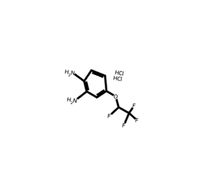 Cl.Cl.Nc1ccc(OC(F)C(F)(F)F)cc1N